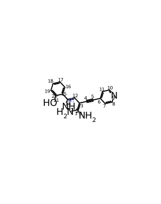 NC(N)=C(C#Cc1ccncc1)/C=C(\N)c1ccccc1O